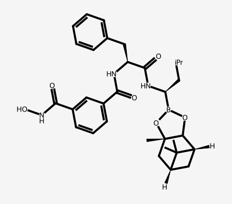 CC(C)C[C@H](NC(=O)[C@H](Cc1ccccc1)NC(=O)c1cccc(C(=O)NO)c1)B1OC2[C@@H]3C[C@H](C[C@]2(C)O1)C3(C)C